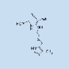 C#CCNC(NCCSCc1[nH]cnc1C)=C(C#N)C#N